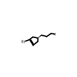 CCC1=CC[C@H](CCCI)C1